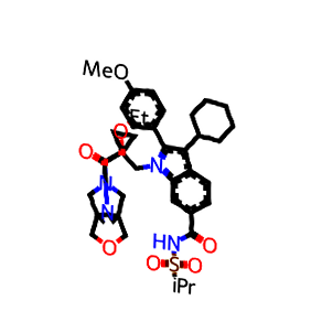 CCOCCN1CC23COCC2(C1)CN(C(=O)C1(Cn2c(-c4ccc(OC)cc4)c(C4CCCCC4)c4ccc(C(=O)NS(=O)(=O)C(C)C)cc42)CC1)C3